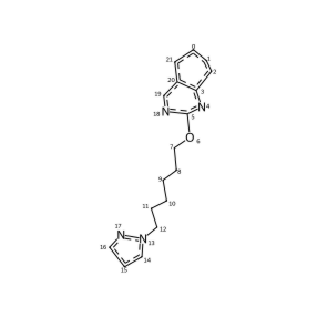 c1ccc2nc(OCCCCCCn3cccn3)ncc2c1